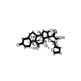 CC1C[C@H]2[C@@H]3CCC4=CC(=O)C=C[C@]4(C)[C@@]3(F)C(O)C[C@]2(C)[C@@]1(OC(=O)c1ccco1)C(=O)CO